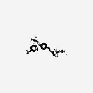 NC1=N[C@@H](CCc2ccc(N(CC(F)(F)F)c3ccc(Br)cn3)cc2)CO1